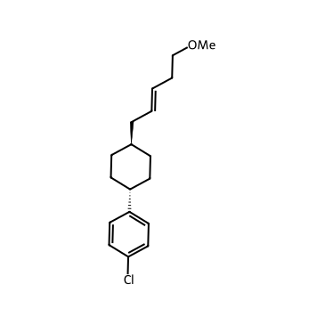 COCC/C=C/C[C@H]1CC[C@H](c2ccc(Cl)cc2)CC1